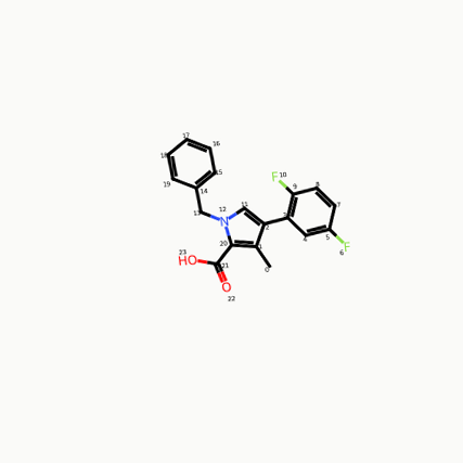 Cc1c(-c2cc(F)ccc2F)cn(Cc2ccccc2)c1C(=O)O